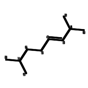 CC(C)/C=C/CCC(C)C